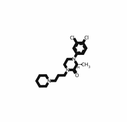 C[C@@H]1C(=O)N(CCCN2CCCCC2)CCN1c1ccc(Cl)c(Cl)c1